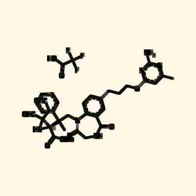 COC(=O)[C@]1(C(C)(CN2C(=O)CNC(=O)c3cc(CCCOc4cc(C)nc(N)n4)ccc32)c2ccccc2)NC1(C=O)CC=O.O=C(O)C(F)(F)F